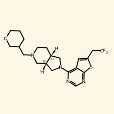 FC(F)(F)Cc1cc2c(N3C[C@H]4CCN(CC5CCCOC5)C[C@H]4C3)ncnc2s1